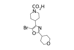 O=C(O)N1CCC(c2nc(C3CCOCC3)oc2Br)CC1